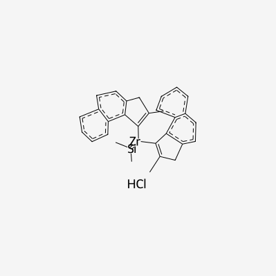 CC1=[C]([Zr]([C]2=C(C)Cc3ccc4ccccc4c32)=[Si](C)C)c2c(ccc3ccccc23)C1.Cl